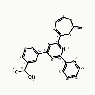 C=C1CC=CC=C(c2cc(-c3cccc(B(O)O)c3)cc(-c3ccccn3)n2)C1